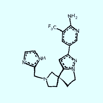 Nc1ncc(-c2cc3n(n2)CC[C@]32CCN(Cc3ncc[nH]3)C2)cc1C(F)(F)F